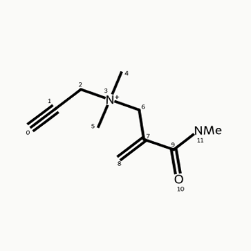 C#CC[N+](C)(C)CC(=C)C(=O)NC